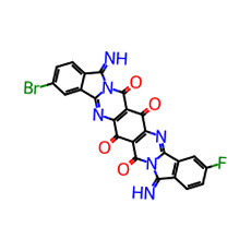 N=c1c2ccc(F)cc2c2nc3c(=O)c4c(=O)n5c(=N)c6ccc(Br)cc6c5nc4c(=O)c3c(=O)n12